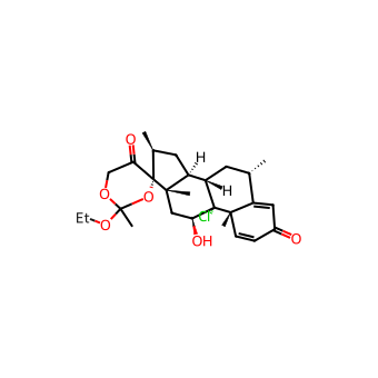 CCOC1(C)OCC(=O)[C@@]2(O1)[C@@H](C)C[C@H]1[C@@H]3C[C@H](C)C4=CC(=O)C=C[C@]4(C)[C@@]3(Cl)[C@@H](O)C[C@@]12C